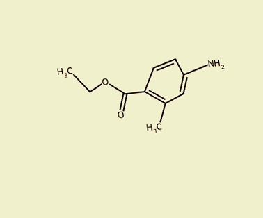 CCOC(=O)c1ccc(N)cc1C